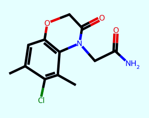 Cc1cc2c(c(C)c1Cl)N(CC(N)=O)C(=O)CO2